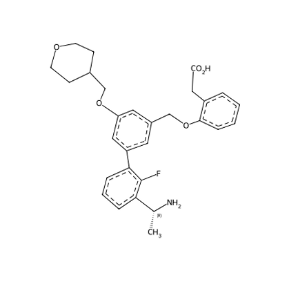 C[C@@H](N)c1cccc(-c2cc(COc3ccccc3CC(=O)O)cc(OCC3CCOCC3)c2)c1F